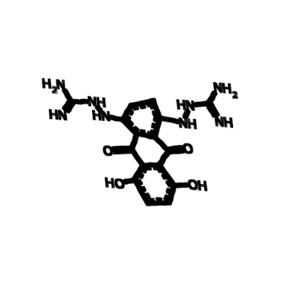 N=C(N)NNc1ccc(NNC(=N)N)c2c1C(=O)c1c(O)ccc(O)c1C2=O